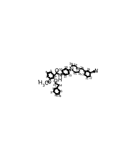 COc1cccc(C(=O)Nc2ccc(N3CCN(Cc4cccc(C#N)c4)CC3)cc2)c1OCCc1ccccc1